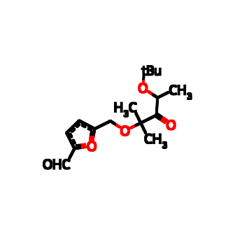 CC(OC(C)(C)C)C(=O)C(C)(C)OCc1ccc(C=O)o1